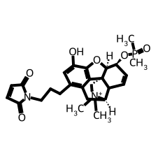 C[N+]1(C)CC[C@]23c4c5c(CCCN6C(=O)C=CC6=O)cc(O)c4O[C@H]2[C@@H](OP(C)(C)=O)C=CC3[C@H]1C5